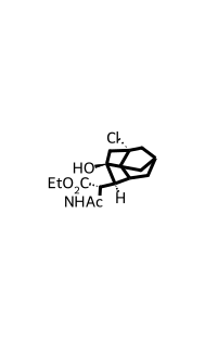 CCOC(=O)[C@@H](NC(C)=O)[C@@H]1C2CC3C[C@@](Cl)(C2)C[C@]1(O)C3